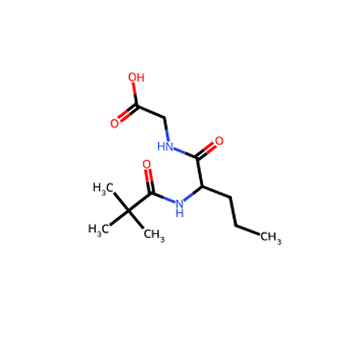 CCCC(NC(=O)C(C)(C)C)C(=O)NCC(=O)O